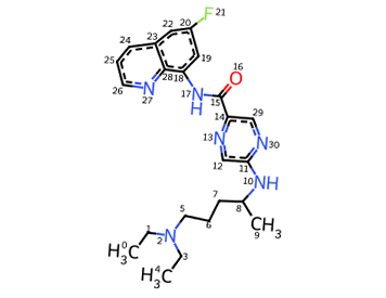 CCN(CC)CCCC(C)Nc1cnc(C(=O)Nc2cc(F)cc3cccnc23)cn1